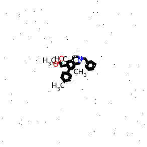 COC(=O)Cc1c(C)c2c(c(C)c1-c1ccc(C)cc1)CN(Cc1ccccc1)CC2